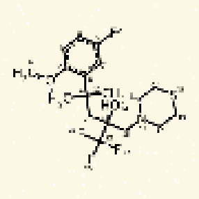 COc1ccc(F)cc1C(C)(C)CC(O)(CN1CCSCC1)C(F)(F)F